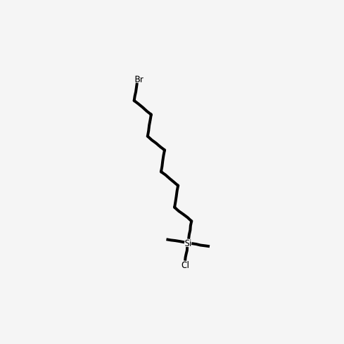 C[Si](C)(Cl)CCCCCCCCBr